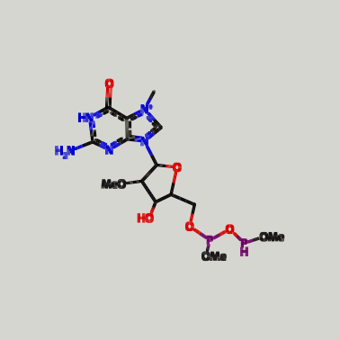 COPOP(OC)OCC1OC(n2c[n+](C)c3c(=O)[nH]c(N)nc32)C(OC)C1O